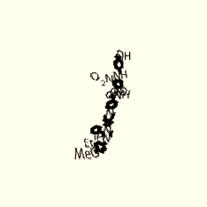 CCc1cc(CN2CCN(C3CC4(CCN(c5ccc(C(=O)NS(=O)(=O)c6ccc(NCC7CCC(C)(O)CC7)c([N+](=O)[O-])c6)cc5)CC4)C3)C(c3ccccc3C(C)C)C2)ccc1OC